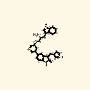 N[C@H](COc1cncc(-c2ccc3c(c2)C(=Cc2cc[nH]c2)C(=O)N3)c1)Cc1c[nH]c2ccccc12